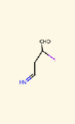 N=[C]CC(I)[C]=O